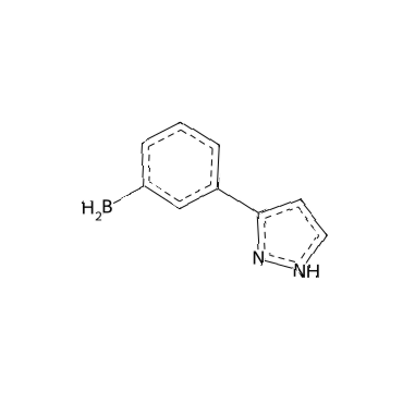 Bc1cccc(-c2cc[nH]n2)c1